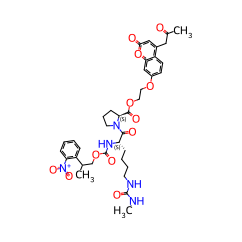 CNC(=O)NCCCC[C@H](NC(=O)OCC(C)c1ccccc1[N+](=O)[O-])C(=O)N1CCC[C@H]1C(=O)OCCOc1ccc2c(CC(C)=O)cc(=O)oc2c1